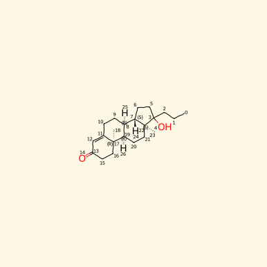 CCCC1(O)CC[C@H]2[C@@H]3CCC4=CC(=O)CC[C@]4(C)[C@@H]3CC[C@@]21C